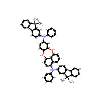 CC1(C)c2ccccc2-c2ccc(N(c3ccccc3)c3ccc4c(c3)Oc3cccc5c(N(c6ccccc6)c6ccc7c(c6)C(C)(C)c6ccccc6-7)ccc(c35)O4)cc21